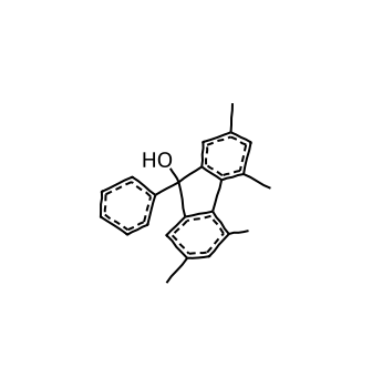 Cc1cc(C)c2c(c1)C(O)(c1ccccc1)c1cc(C)cc(C)c1-2